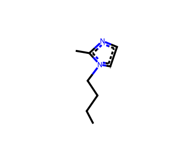 CCCCn1[c]cnc1C